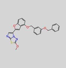 COc1nn2c(-c3cc4c(OCc5cccc(OCc6ccccc6)c5)cccc4o3)cnc2s1